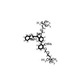 COc1c(OCOCC[Si](C)(C)C)cccc1-c1ccc2c(c1)c(-c1nc3ccccc3[nH]1)nn2COCC[Si](C)(C)C